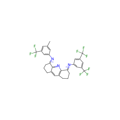 Cc1cc(/N=C2\CCCc3cc4c(nc32)/C(=N/c2cc(C(F)(F)F)cc(C(F)(F)F)c2)CCC4)cc(C(F)(F)F)c1